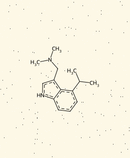 CC(C)c1cccc2[nH]cc(CN(C)C)c12